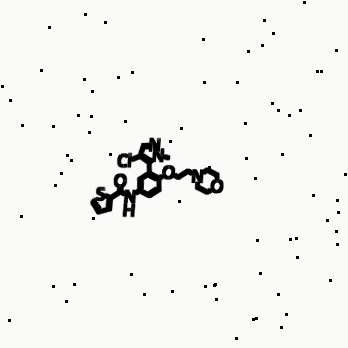 Cn1ncc(Cl)c1-c1cc(NC(=O)c2cccs2)ccc1OCCN1CCOCC1